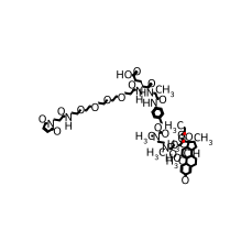 CCC(=O)O[C@]1(C(=O)COC(=O)N(C)CCN(C)C(=O)OCc2ccc(NC(=O)[C@H](C)NC(=O)[C@H](CCC(=O)O)NC(=O)CCOCCOCCOCCOCCNC(=O)CCN3C(=O)C=CC3=O)cc2)[C@@H](C)CC2[C@@H]3CCC4=CC(=O)C=C[C@]4(C)[C@@]3(Cl)[C@@H](O)C[C@@]21C